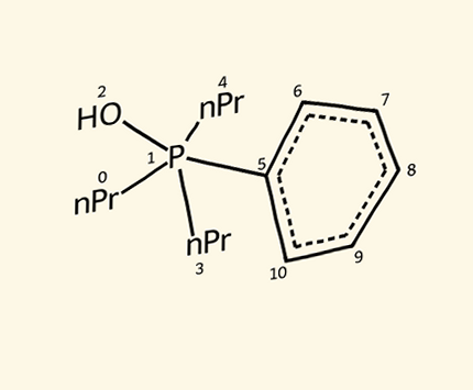 CCCP(O)(CCC)(CCC)c1ccccc1